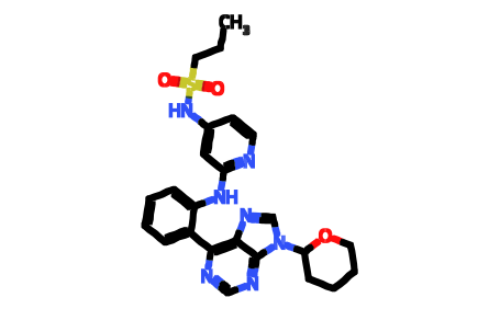 CCCS(=O)(=O)Nc1ccnc(Nc2ccccc2-c2ncnc3c2ncn3C2CCCCO2)c1